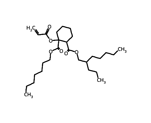 C=CC(=O)OC1(C(=O)OCCCCCCC)CCCCC1C(=O)OCC(CCC)CCCCC